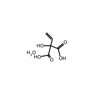 C=CC(O)(C(=O)O)C(=O)O.O